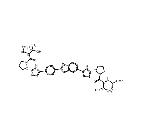 COC(=O)N[C@H](C(=O)N1CCC[C@H]1c1ncc(-c2ccc3oc(-c4ccc(-c5cnc([C@@H]6CCCN6C(=O)[C@@H](NC(=O)O)[C@@H](C)O)[nH]5)cc4)cc3c2)[nH]1)[C@@H](C)O